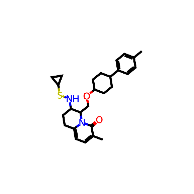 Cc1ccc(C2CCC(OCC3C(NSC4CC4)CCc4ccc(C)c(=O)n43)CC2)cc1